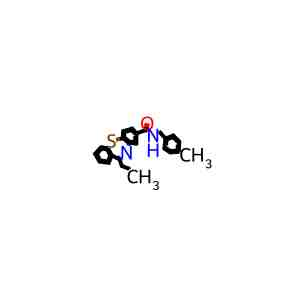 CCCC1=Nc2cc(C(=O)NCc3ccc(C)cc3)ccc2Sc2ccccc21